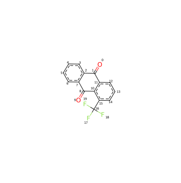 O=C1c2ccccc2C(=O)c2c1cccc2C(F)(F)F